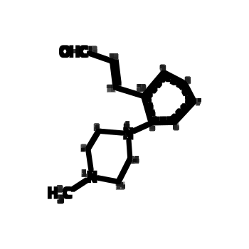 CN1CCN(c2ccccc2/C=C/C=O)CC1